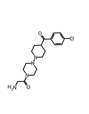 NCC(=O)N1CCN(N2CCC(C(=O)c3ccc(Cl)cc3)CC2)CC1